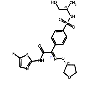 C[C@@H](CO)NS(=O)(=O)c1ccc(/C(=N\O[C@@H]2CCOC2)C(=O)Nc2ncc(F)s2)cc1